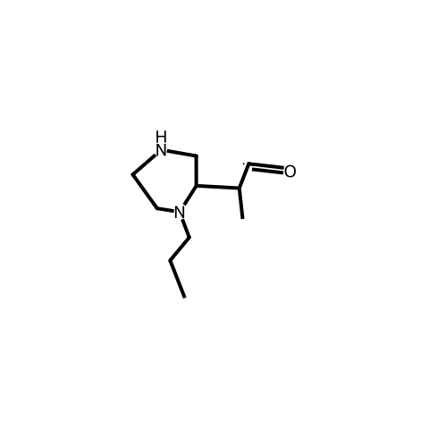 CCCN1CCNCC1C(C)[C]=O